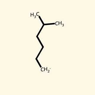 [CH2]CCC[C](C)C